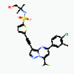 Cc1cc(-c2cc(C(F)F)n3ncc(C#Cc4ccc(S(=O)(=O)NC(C)(C)CO)s4)c3n2)ccc1Cl